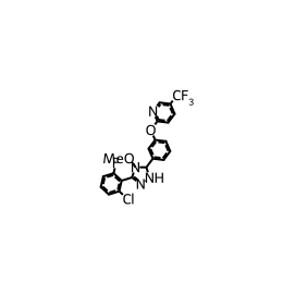 CON1C(c2c(F)cccc2Cl)=NNC1c1cccc(Oc2ccc(C(F)(F)F)cn2)c1